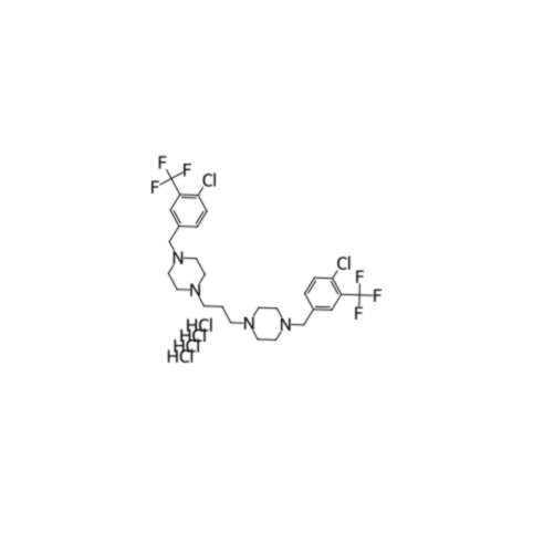 Cl.Cl.Cl.Cl.FC(F)(F)c1cc(CN2CCN(CCCN3CCN(Cc4ccc(Cl)c(C(F)(F)F)c4)CC3)CC2)ccc1Cl